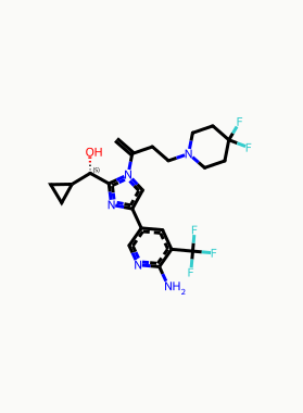 C=C(CCN1CCC(F)(F)CC1)n1cc(-c2cnc(N)c(C(F)(F)F)c2)nc1[C@@H](O)C1CC1